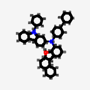 c1ccc(-c2ccc(N(c3ccc4c5ccccc5n(-c5ccccc5)c4c3)c3cccc4c3oc3ccc5ccccc5c34)cc2)cc1